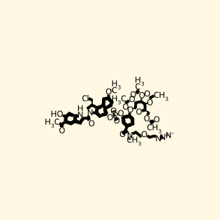 COc1ccc2c(OS(=O)(=O)Oc3cc(C(=O)N(C)CCOCCN=[N+]=[N-])ccc3O[C@@H]3O[C@H](COC(C)=O)[C@H](OC(C)=O)[C@H](OC(C)=O)[C@H]3OC(C)=O)cc3c(c2c1)[C@H](CCl)CN3C(=O)c1cc2cc(C(C)=O)c(O)cc2[nH]1